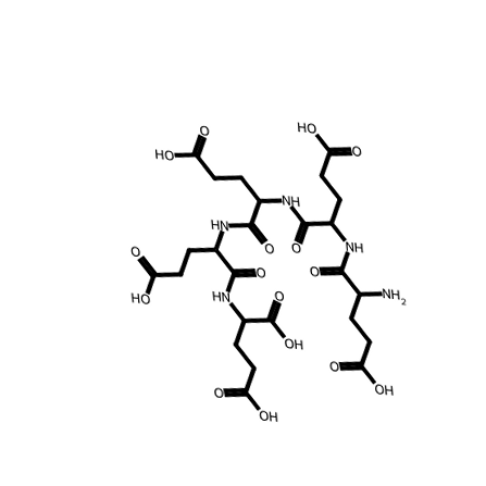 NC(CCC(=O)O)C(=O)NC(CCC(=O)O)C(=O)NC(CCC(=O)O)C(=O)NC(CCC(=O)O)C(=O)NC(CCC(=O)O)C(=O)O